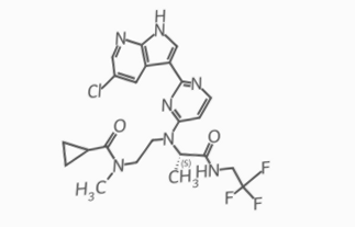 C[C@@H](C(=O)NCC(F)(F)F)N(CCN(C)C(=O)C1CC1)c1ccnc(-c2c[nH]c3ncc(Cl)cc23)n1